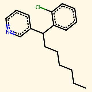 CCCCCCC(c1cccnc1)c1ccccc1Cl